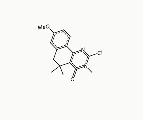 COc1ccc2c(c1)CC(C)(C)c1c-2nc(Cl)n(C)c1=O